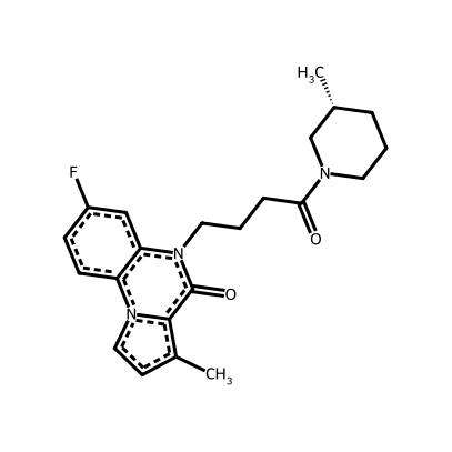 Cc1ccn2c1c(=O)n(CCCC(=O)N1CCC[C@@H](C)C1)c1cc(F)ccc12